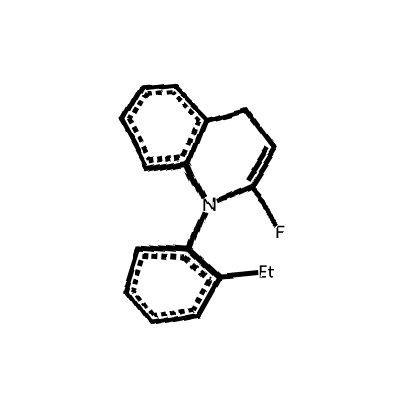 CCc1ccccc1N1C(F)=CCc2ccccc21